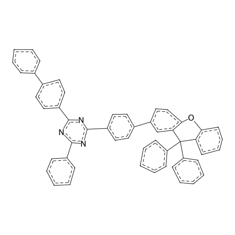 c1ccc(-c2ccc(-c3nc(-c4ccccc4)nc(-c4ccc(-c5ccc6c(c5)C(c5ccccc5)(c5ccccc5)c5ccccc5O6)cc4)n3)cc2)cc1